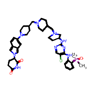 CP(C)(=O)c1ccccc1Nc1nc(NC2CCN(CC3CCN(CC4CCN(c5ccc6cn(C7CCC(=O)NC7=O)cc6c5)CC4)CC3)C2)ncc1Cl